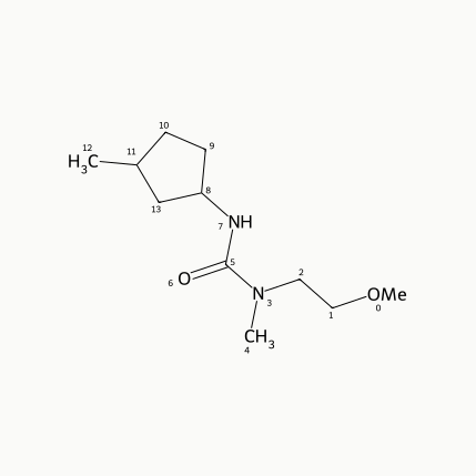 COCCN(C)C(=O)NC1CCC(C)C1